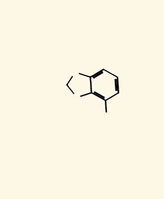 [O]c1cccc2c1OCO2